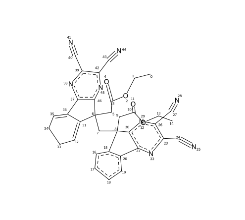 CCOC(=O)CC1(CC2(CC(=O)OCC)c3ccccc3-c3nc(C#N)c(C#N)nc32)C2=CCCC=C2c2nc(C#N)c(C#N)nc21